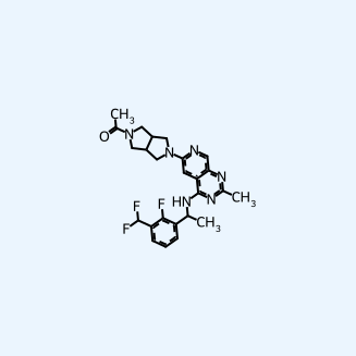 CC(=O)N1CC2CN(c3cc4c(NC(C)c5cccc(C(F)F)c5F)nc(C)nc4cn3)CC2C1